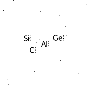 [Al].[C].[Ge].[Si]